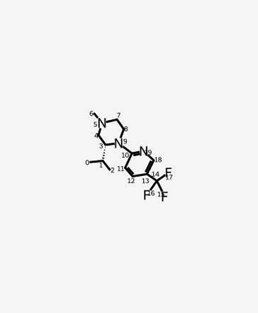 CC(C)[C@@H]1CN(C)CCN1c1ccc(C(F)(F)F)cn1